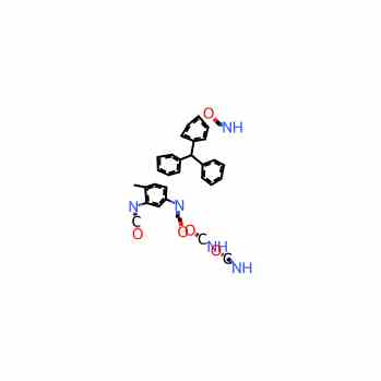 Cc1ccc(N=C=O)cc1N=C=O.N=C=O.N=C=O.N=C=O.c1ccc(C(c2ccccc2)c2ccccc2)cc1